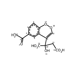 NC(=O)c1ccc2c(c1)C(C(O)(CC(=O)O)C(=O)O)=COO2